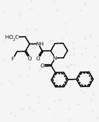 O=C(O)CC(NC(=O)C1CCCCN1C(=O)c1cccc(-c2ccccc2)c1)C(=O)CF